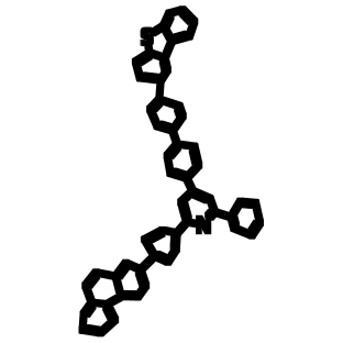 c1ccc(-c2cc(-c3ccc(-c4ccc(-c5ccc6sc7ccccc7c6c5)cc4)cc3)cc(-c3ccc(-c4ccc5c(ccc6ccccc65)c4)cc3)n2)cc1